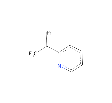 CC(C)C(c1ccccn1)C(F)(F)F